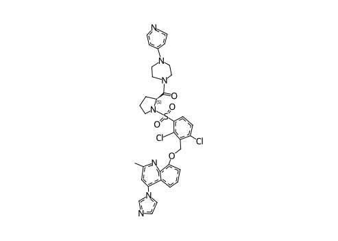 Cc1cc(-n2ccnc2)c2cccc(OCc3c(Cl)ccc(S(=O)(=O)N4CCC[C@H]4C(=O)N4CCN(c5ccncc5)CC4)c3Cl)c2n1